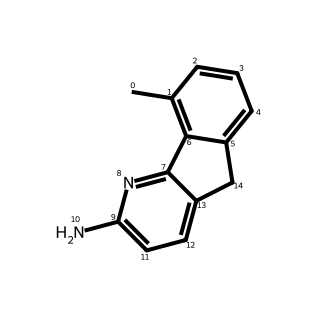 Cc1cccc2c1-c1nc(N)ccc1C2